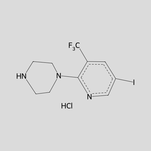 Cl.FC(F)(F)c1cc(I)cnc1N1CCNCC1